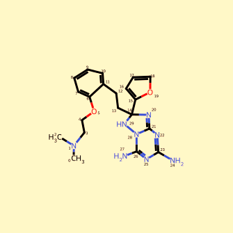 CN(C)CCOc1ccccc1CCC1(c2ccco2)N=C2N=C(N)N=C(N)N2N1